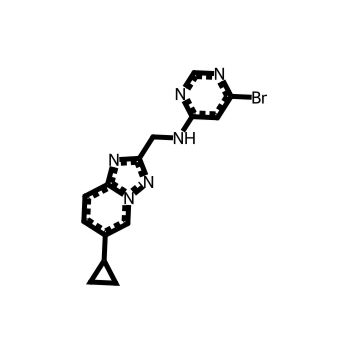 Brc1cc(NCc2nc3ccc(C4CC4)cn3n2)ncn1